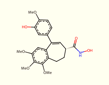 COc1ccc(C2=C[C@H](C(=O)NO)CCc3c2cc(OC)c(OC)c3OC)cc1O